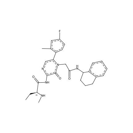 CC[C@H](NC)C(=O)Nc1ncc(-c2ccc(F)cc2C)n(CC(=O)NC2CCCc3ccccc32)c1=O